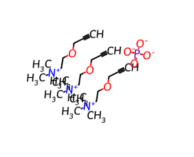 C#CCOCC[N+](C)(C)C.C#CCOCC[N+](C)(C)C.C#CCOCC[N+](C)(C)C.O=P([O-])([O-])[O-]